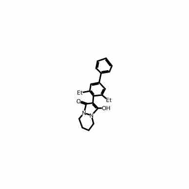 CCc1cc(-c2ccccc2)cc(CC)c1-c1c(O)n2n(c1=O)CCCC2